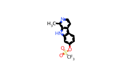 Cc1nccc2c1[nH]c1cc(OS(=O)(=O)C(F)(F)F)ccc12